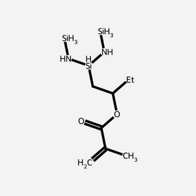 C=C(C)C(=O)OC(CC)C[SiH](N[SiH3])N[SiH3]